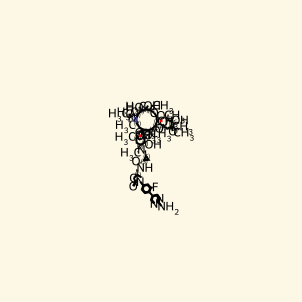 CC[C@H]1OC(=O)[C@H](C)[C@@H](O[C@H]2C[C@@](C)(OC)[C@@H](O)[C@H](C)O2)[C@H](C)[C@@H](O[C@@H]2O[C@H](C)C[C@H](N(C)C[C@H]3C[C@@H]3C(=O)NC[C@H]3CN(c4ccc(-c5cnc(N)nc5)c(F)c4)C(=O)O3)[C@H]2O)[C@](C)(OC)C[C@@H](C)/C(=N/OC)[C@H](C)[C@@H](O)[C@]1(C)O